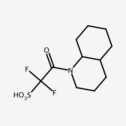 O=C(N1CCCC2CCCCC21)C(F)(F)S(=O)(=O)O